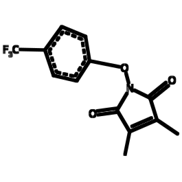 CC1=C(C)C(=O)N(Oc2ccc(C(F)(F)F)cc2)C1=O